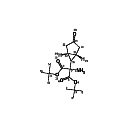 CC(C)(C)OC(=O)C(N)(C(=O)OC(C)(C)C)C1[C@H]2CC(=O)C[C@@H]12